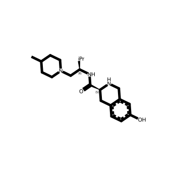 CC1CCN(C[C@H](NC(=O)[C@@H]2Cc3ccc(O)cc3CN2)C(C)C)CC1